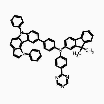 CC1(C)c2ccccc2-c2ccc(N(c3ccc(-c4ccc5c(c4)c4c6c(ccc4n5-c4ccccc4)ccn6-c4ccccc4)cc3)c3ccc(-c4ncncn4)cc3)cc21